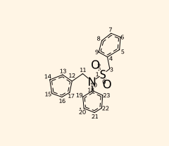 O=S(=O)(Cc1ccccc1)N(Cc1ccccc1)c1c[c]ccc1